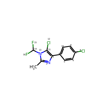 Cc1nc(-c2ccc(Cl)cc2)c(Cl)n1C(F)F